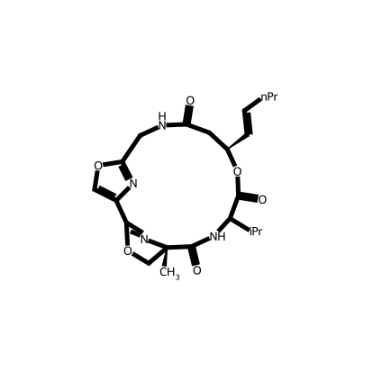 CCC/C=C/[C@@H]1CC(=O)NCc2nc(co2)C2=N[C@@](C)(CO2)C(=O)NC(C(C)C)C(=O)O1